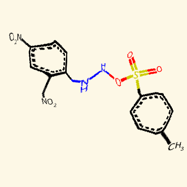 Cc1ccc(S(=O)(=O)ONNc2ccc([N+](=O)[O-])cc2[N+](=O)[O-])cc1